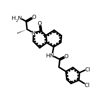 C[C@H](C(N)=O)n1ccc2c(NC(=O)Cc3ccc(Cl)c(Cl)c3)cccc2c1=O